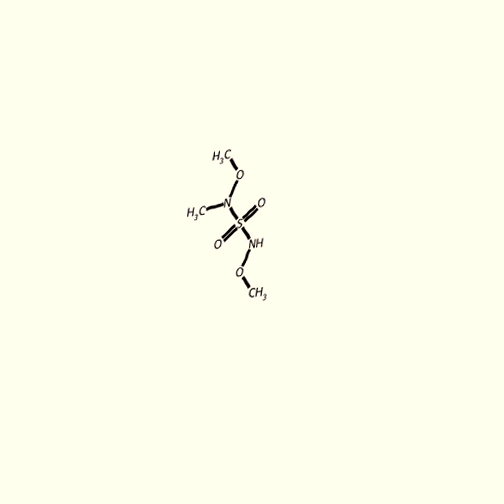 CONS(=O)(=O)N(C)OC